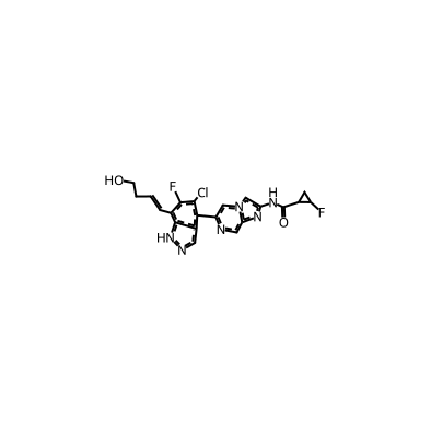 O=C(Nc1cn2cc(-c3c(Cl)c(F)c(/C=C/CCO)c4[nH]ncc34)ncc2n1)C1CC1F